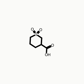 O=C(O)C1CCCS(=O)(=O)C1